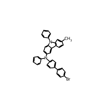 Cc1ccc2c3cc(N(c4ccccc4)c4ccc(-c5ccc(Br)cc5)cc4)ccc3n(-c3ccccc3)c2c1